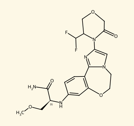 COC[C@H](Nc1ccc2c(c1)OCCn1cc(N3C(=O)COCC3C(F)F)nc1-2)C(N)=O